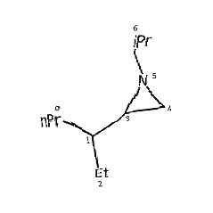 CCCC(CC)C1CN1C(C)C